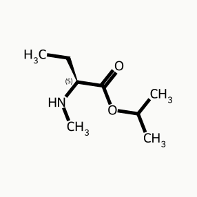 CC[C@H](NC)C(=O)OC(C)C